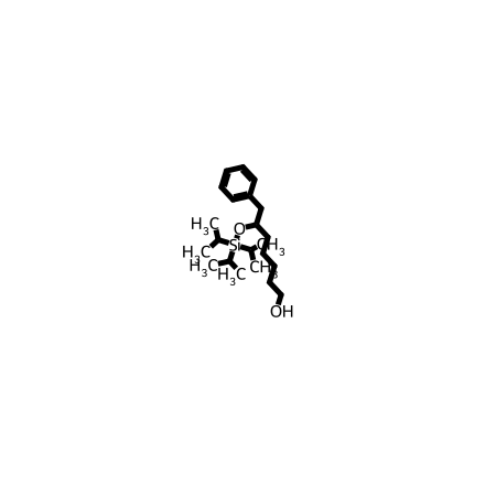 CC(C)[Si](OC(CCCCCO)Cc1ccccc1)(C(C)C)C(C)C